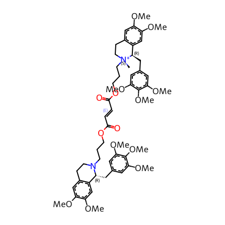 COc1cc2c(cc1OC)[C@@H](Cc1cc(OC)c(OC)c(OC)c1)N(CCCOC(=O)/C=C/C(=O)OCCC[N@+]1(C)CCc3cc(OC)c(OC)cc3[C@H]1Cc1cc(OC)c(OC)c(OC)c1)CC2